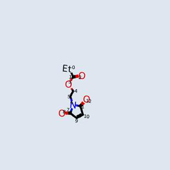 CCC(=O)OCCN1C(=O)C=CC1=O